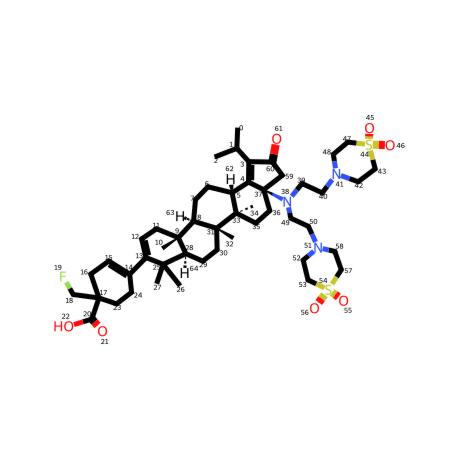 CC(C)C1=C2[C@H]3CC[C@@H]4[C@@]5(C)CC=C(C6=CCC(CF)(C(=O)O)CC6)C(C)(C)[C@@H]5CC[C@@]4(C)[C@]3(C)CC[C@@]2(N(CCN2CCS(=O)(=O)CC2)CCN2CCS(=O)(=O)CC2)CC1=O